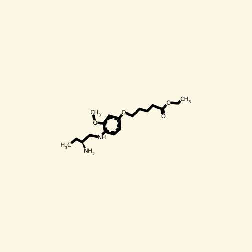 CCOC(=O)CCCCOc1ccc(NC[C@@H](N)CC)c(OC)c1